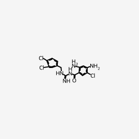 N=C(NCc1ccc(Cl)c(Cl)c1)NC(=O)c1cc(Cl)c(N)cc1N